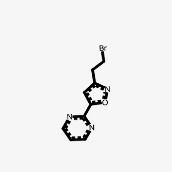 BrCCc1cc(-c2ncccn2)on1